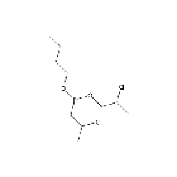 CCCCOP(CC(C)Cl)OCC(C)Cl